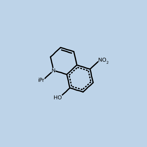 CC(C)N1CC=Cc2c([N+](=O)[O-])ccc(O)c21